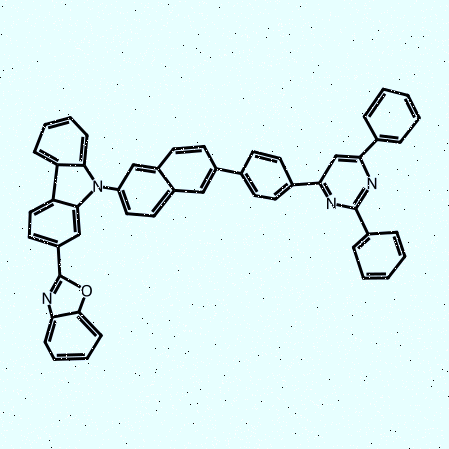 c1ccc(-c2cc(-c3ccc(-c4ccc5cc(-n6c7ccccc7c7ccc(-c8nc9ccccc9o8)cc76)ccc5c4)cc3)nc(-c3ccccc3)n2)cc1